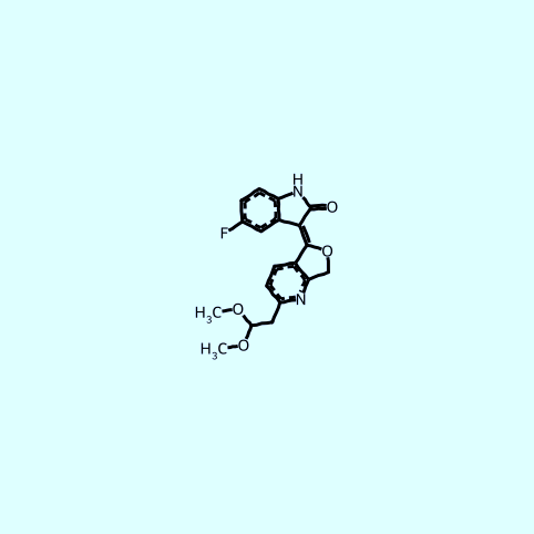 COC(Cc1ccc2c(n1)CO/C2=C1\C(=O)Nc2ccc(F)cc21)OC